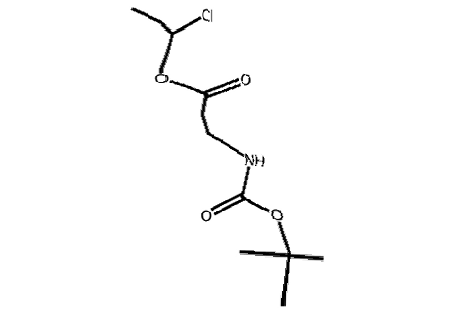 CC(Cl)OC(=O)CNC(=O)OC(C)(C)C